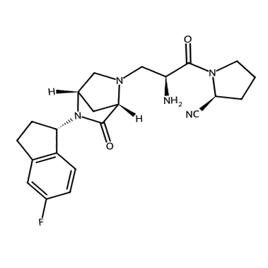 N#C[C@@H]1CCCN1C(=O)[C@@H](N)CN1C[C@@H]2C[C@H]1C(=O)N2[C@H]1CCc2cc(F)ccc21